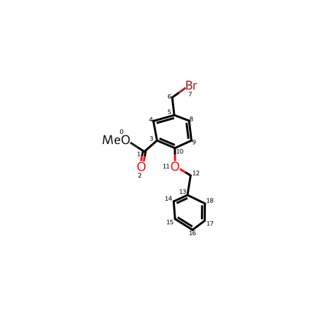 COC(=O)c1cc(CBr)ccc1OCc1ccccc1